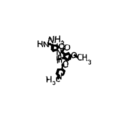 CCOc1cc(OCC2CCN(C)CC2)c(F)c(C(Nc2ccc(C(=N)N)cc2)C(=O)O)c1